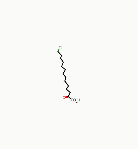 O=C(O)C(=O)CCCCCCCCCCCCCl